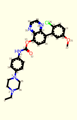 CCN1CCN(c2ccc(NC(=O)Oc3ccc(-c4cc(OC)ccc4Cl)c4nccnc34)cc2)CC1